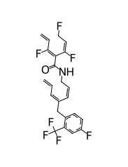 C=C/C=C(\C=C/CNC(=O)C(/C(F)=C\CF)=C(\F)C=C)Cc1ccc(F)cc1C(F)(F)F